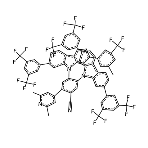 Cc1cc(-c2ccc3c4ccc(-c5cc(C(F)(F)F)cc(C(F)(F)F)c5)cc4n(-c4cc(-c5cc(C)nc(C)c5)c(C#N)cc4-n4c5cc(-c6cc(C(F)(F)F)cc(C(F)(F)F)c6)ccc5c5ccc(-c6cc(C(F)(F)F)cc(C(F)(F)F)c6)cc54)c3c2)cc(C(F)(F)F)c1